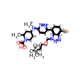 CC1CC(N(C)c2ccc(-c3ccc(Br)c4nnn(COCC[Si](C)(C)C)c34)nn2)CCN1C(=O)O